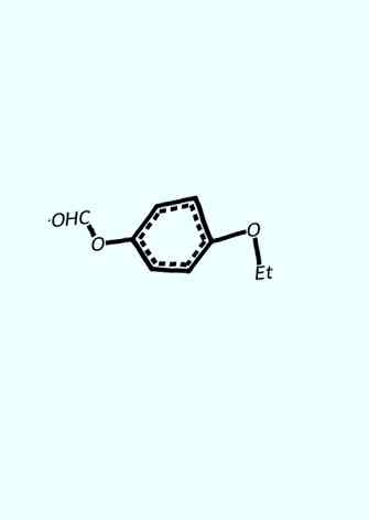 CCOc1ccc(O[C]=O)cc1